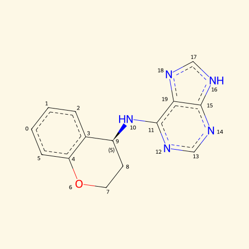 c1ccc2c(c1)OCC[C@@H]2Nc1ncnc2[nH]cnc12